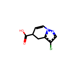 O=C(O)C1C=Cn2ncc(Br)c2C1